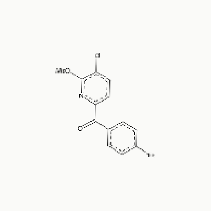 CCc1ccc(C(=O)c2ccc(Cl)c(OC)n2)cc1